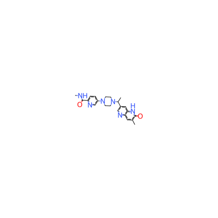 CNC(=O)c1ccc(N2CCN(C(C)c3cnc4cc(C)c(=O)[nH]c4c3)CC2)cn1